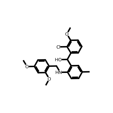 COc1ccc(CNc2ccc(C)cc2C(O)c2cccc(OC)c2Cl)c(OC)c1